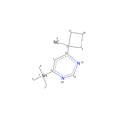 [CH3][Sn]([CH3])([CH3])[c]1cc(C2(C#N)CCC2)ncn1